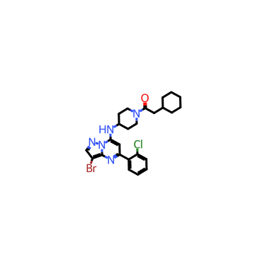 O=C(CC1CCCCC1)N1CCC(Nc2cc(-c3ccccc3Cl)nc3c(Br)cnn23)CC1